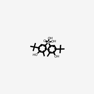 Cc1cc(S(=O)(O)(O)c2cc(C)c(O)c(C(C)(C)C)c2)cc(C(C)(C)C)c1O